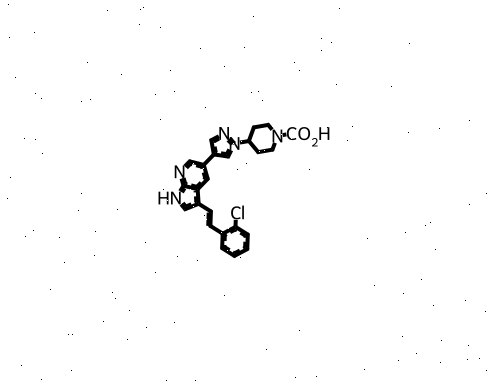 O=C(O)N1CCC(n2cc(-c3cnc4[nH]cc(C=Cc5ccccc5Cl)c4c3)cn2)CC1